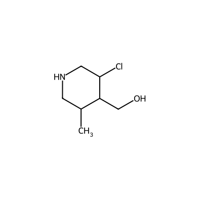 CC1CNCC(Cl)C1CO